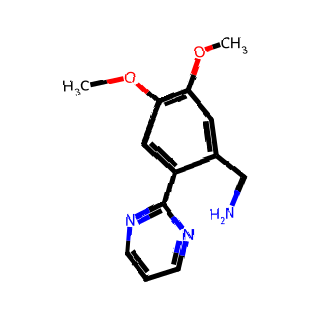 COc1cc(CN)c(-c2ncccn2)cc1OC